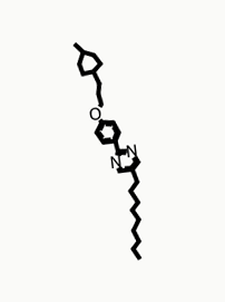 CCCCCCCCCc1cnc(-c2ccc(OCCCC3CCC(C)CC3)cc2)nc1